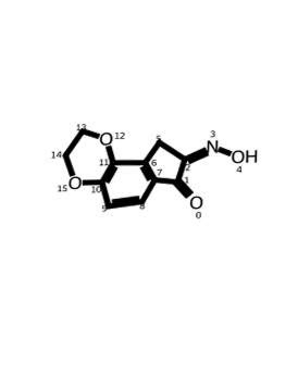 O=C1/C(=N\O)Cc2c1ccc1c2OCCO1